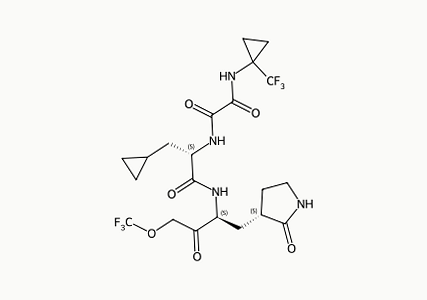 O=C(N[C@@H](CC1CC1)C(=O)N[C@@H](C[C@@H]1CCNC1=O)C(=O)COC(F)(F)F)C(=O)NC1(C(F)(F)F)CC1